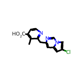 Cc1c(C(=O)O)ccnc1Cc1cc2cc(Cl)cn2cn1